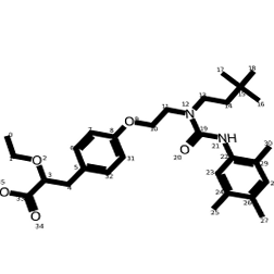 CCOC(Cc1ccc(OCCN(CCC(C)(C)C)C(=O)Nc2cc(C)c(C)cc2C)cc1)C(=O)O